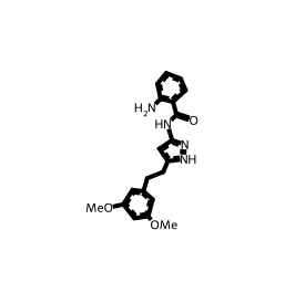 COc1cc(CCc2cc(NC(=O)c3ccccc3N)n[nH]2)cc(OC)c1